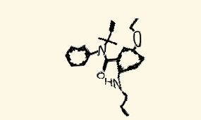 C#CC(C)(C)N(C(=O)c1cc(OCC)ccc1NCCC)c1ccccc1